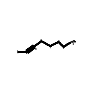 [CH2]CCCCCCC#CC